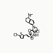 CN(C)C1CCc2cc(N3CCC(NS(=O)(=O)C=Cc4ccc(Cl)s4)C3=O)ccc21.Cl